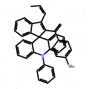 C=C(C1=C(/C=C\C)c2ccccc2C12c1ccccc1N(c1ccccc1)c1ccccc12)c1ccc(C(C)(C)C)cc1